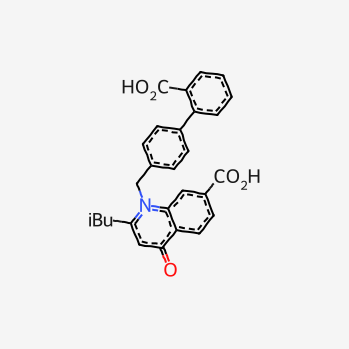 CCC(C)c1cc(=O)c2ccc(C(=O)O)cc2n1Cc1ccc(-c2ccccc2C(=O)O)cc1